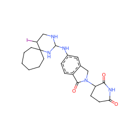 O=C1CCC(N2Cc3cc(NC4NCC(I)C5(CCCCCC5)N4)ccc3C2=O)C(=O)N1